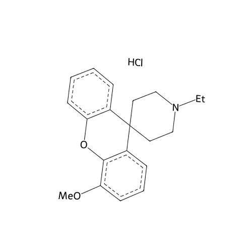 CCN1CCC2(CC1)c1ccccc1Oc1c(OC)cccc12.Cl